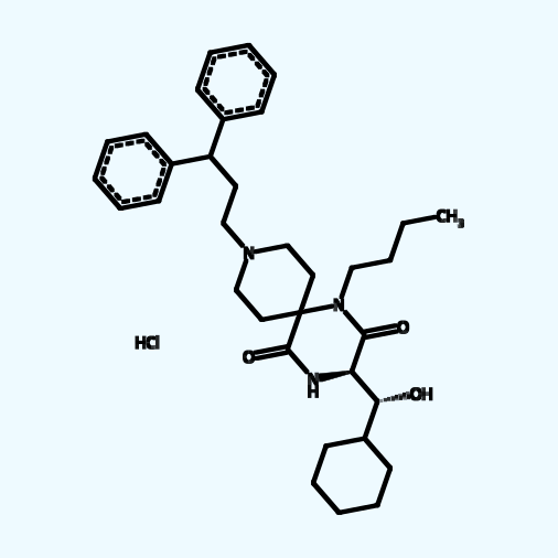 CCCCN1C(=O)[C@@H]([C@H](O)C2CCCCC2)NC(=O)C12CCN(CCC(c1ccccc1)c1ccccc1)CC2.Cl